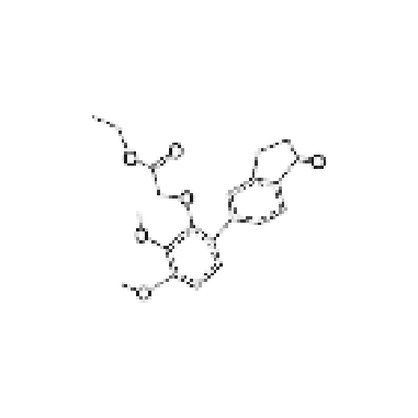 CCOC(=O)COc1c(-c2ccc3c(c2)CCC3=O)ccc(OC)c1OC